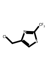 FC(F)(F)c1nc(CCl)cs1